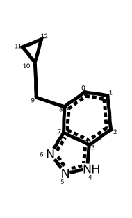 [c]1ccc2[nH]nnc2c1CC1CC1